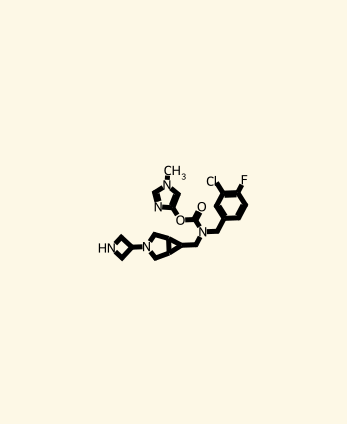 Cn1cnc(OC(=O)N(Cc2ccc(F)c(Cl)c2)CC2C3CN(C4CNC4)CC23)c1